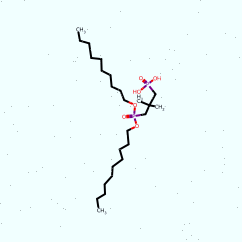 [CH2]C([CH2])(CP(=O)(O)O)CP(=O)(OCCCCCCCCCC)OCCCCCCCCCC